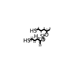 CC(CCCS)O[SiH2]OC(C)CCCS